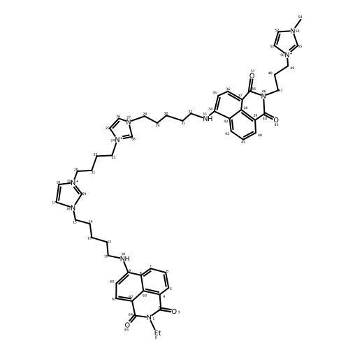 CCN1C(=O)c2cccc3c(NCCCCCn4cc[n+](CCCC[n+]5ccn(CCCCCNc6ccc7c8c(cccc68)C(=O)N(CCC[n+]6ccn(C)c6)C7=O)c5)c4)ccc(c23)C1=O